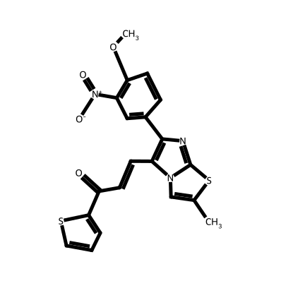 COc1ccc(-c2nc3sc(C)cn3c2C=CC(=O)c2cccs2)cc1[N+](=O)[O-]